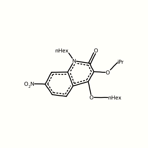 CCCCCCOc1c(OC(C)C)c(=O)n(CCCCCC)c2cc([N+](=O)[O-])ccc12